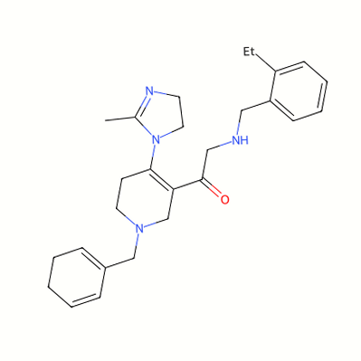 CCc1ccccc1CNCC(=O)C1=C(N2CCN=C2C)CCN(CC2=CCCC=C2)C1